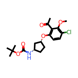 COc1c(Cl)ccc(O[C@@H]2CC[C@H](NC(=O)OC(C)(C)C)C2)c1C(C)=O